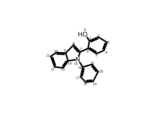 Oc1ccccc1-c1cc2ccccc2n1-c1ccccc1